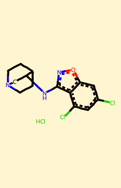 Cl.Clc1cc(Cl)c2c(NC3CN4CCC3CC4)noc2c1